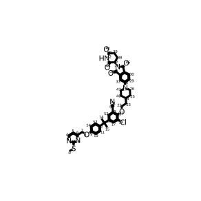 CSc1nccc(COc2ccc(C(C)(C)c3cc(Cl)c(OCCC4CCN(c5ccc6c(c5)C(=O)N(C5CCC(=O)NC5=O)C6=O)CC4)c(C#N)c3)cc2)n1